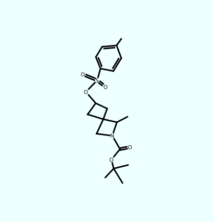 Cc1ccc(S(=O)(=O)OC2CC3(C2)CN(C(=O)OC(C)(C)C)C3C)cc1